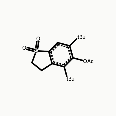 CC(=O)Oc1c(C(C)(C)C)cc2c(c1C(C)(C)C)CCS2(=O)=O